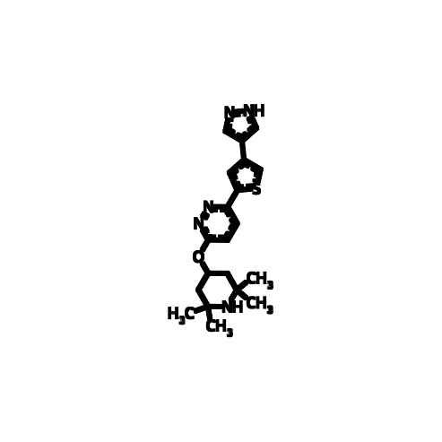 CC1(C)CC(Oc2ccc(-c3cc(-c4cn[nH]c4)cs3)nn2)CC(C)(C)N1